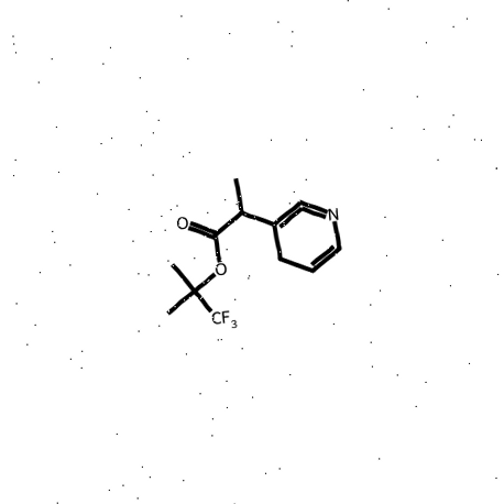 CC(C(=O)OC(C)(C)C(F)(F)F)C1=C=NC=CC1